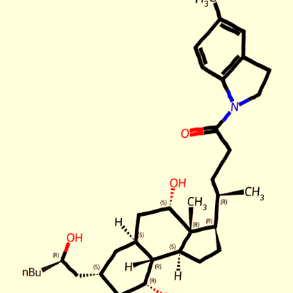 CCCC[C@@H](O)C[C@@H]1C[C@H]2C[C@H](O)[C@]3(C)[C@@H]([C@H](C)CCC(=O)N4CCc5cc(C)ccc54)CC[C@H]3[C@@H]2[C@H](O)C1